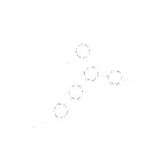 CCCCc1ccc(-c2ccc(-c3cc(-c4ccc(CC)cc4CC)nc(-c4ccc(CC)cc4CC)c3)c(N)c2)cc1